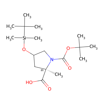 CC(C)(C)OC(=O)N1CC(O[Si](C)(C)C(C)(C)C)C[C@]1(C)C(=O)O